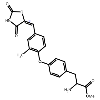 COC(=O)C(N)Cc1ccc(Oc2ccc(/C=C3/OC(=O)NC3=O)cc2C)cc1